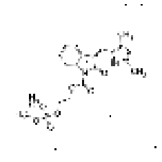 COP(=O)(OC)OCCOC(=O)N1C(=O)/C(=C\c2[nH]c(C)cc2C)c2ccccc21